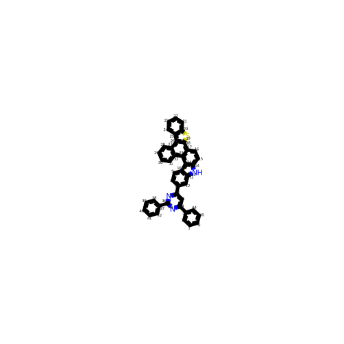 c1ccc(-c2cc(-c3ccc4c(c3)[nH]c3ccc5c6sc7ccccc7c6c6ccccc6c5c34)nc(-c3ccccc3)n2)cc1